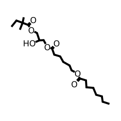 CCCCCCCC(=O)OCCCCCC(=O)OCC(O)COC(=O)C(C)(C)CC